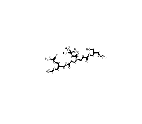 COCC(CO)COC(=O)CCN(CCC(=O)OCC(COCO)COC(C)=O)C(=O)OC(C)(C)C